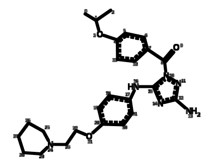 CC(C)Oc1ccc(C(=O)n2nc(N)nc2Nc2ccc(OCCN3CCCCC3)cc2)cc1